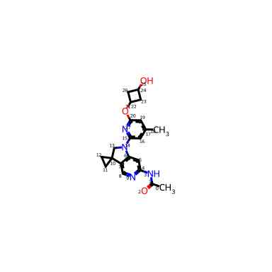 CC(=O)Nc1cc2c(cn1)C1(CC1)CN2c1cc(C)cc(OC2CC(O)C2)n1